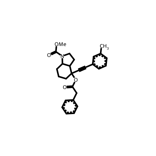 COC(=O)N1CCC2C1CCCC2(C#Cc1cccc(C)c1)OC(=O)Cc1ccccc1